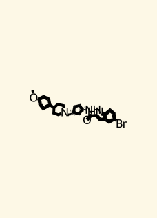 COc1ccc(C2CCN(C[C@H]3CC[C@@H](NC(=O)c4cc5cc(Br)ccc5[nH]4)C3)CC2)cc1